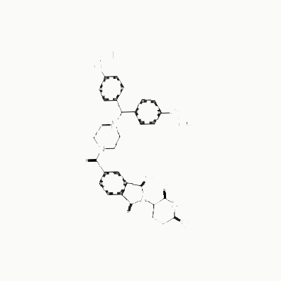 COc1ccc(C(c2ccc(OC)cc2)N2CCN(C(=O)c3ccc4c(c3)C(=O)N(C3CCC(=O)NC3=O)C4=O)CC2)cc1